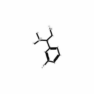 CC(=O)CC(c1cccc(F)c1)N(C)C